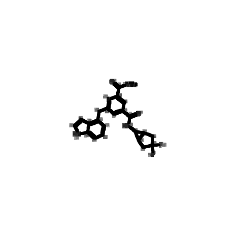 CNC(=O)c1cc(C(=O)NC2C3CC(F)(F)CC32)cc(Cc2cccc3[nH]ccc23)n1